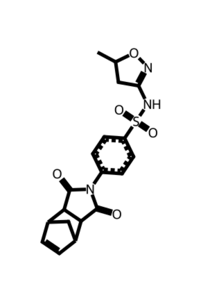 CC1CC(NS(=O)(=O)c2ccc(N3C(=O)C4C5C=CC(C5)C4C3=O)cc2)=NO1